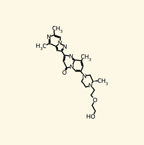 Cc1cn2nc(-c3cc(=O)n4cc(N5CCN(CCOCCO)[C@H](C)C5)cc(C)c4n3)cc2c(C)n1